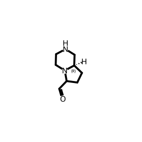 O=CC1CC[C@@H]2CNCCN12